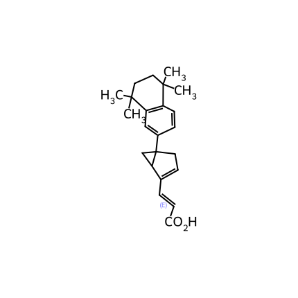 CC1(C)CCC(C)(C)c2cc(C34CC=C(/C=C/C(=O)O)C3C4)ccc21